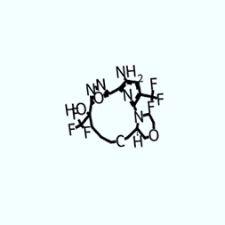 Nc1cc(C(F)(F)F)c2nc1-c1nnc(o1)C(O)(C(F)(F)F)CCCCC[C@@H]1COCCN21